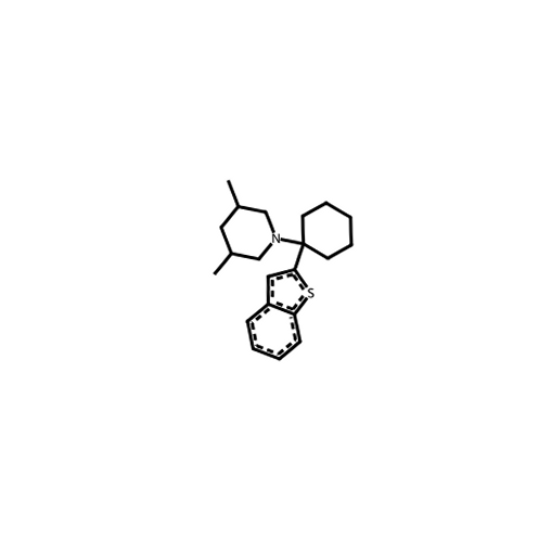 CC1CC(C)CN(C2(c3cc4ccccc4s3)CCCCC2)C1